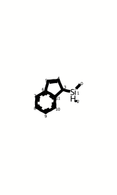 C[SiH](C)C1C=Cc2ccccc21